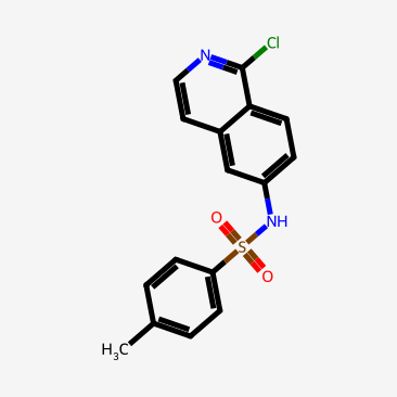 Cc1ccc(S(=O)(=O)Nc2ccc3c(Cl)nccc3c2)cc1